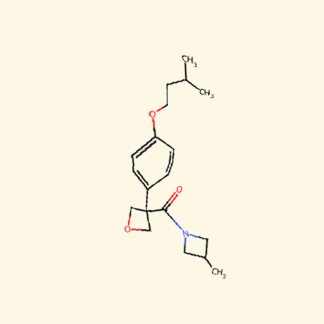 CC(C)CCOc1ccc(C2(C(=O)N3CC(C)C3)COC2)cc1